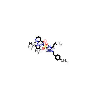 C=C/C=C(\N=C(/C)S(=O)(=O)NC(=O)c1cccnc1N1CC(C)CC1(C)C)NCCc1ccc(C)cc1